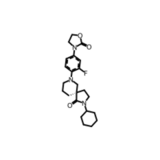 O=C1OCCN1c1ccc(N2CCC[C@@]3(CCN(C4CCCCC4)C3=O)C2)c(F)c1